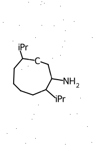 CC(C)C1CCCCC(C(C)C)C(N)CC1